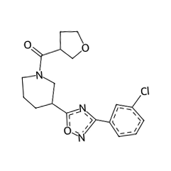 O=C(C1CCOC1)N1CCCC(c2nc(-c3cccc(Cl)c3)no2)C1